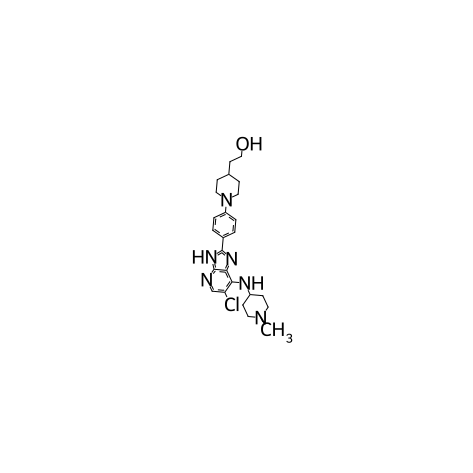 CN1CCC(Nc2c(Cl)cnc3[nH]c(-c4ccc(N5CCC(CCO)CC5)cc4)nc23)CC1